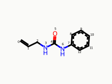 C=CCNC(=O)Nc1c[c]ccc1